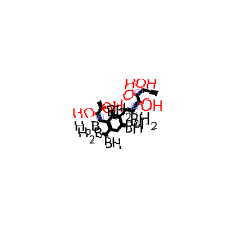 B=C(B)C1=C(/C(B)=C(/O)C(=C)O)C(B)=C(C/C(B)=C(O)\C(O)=C(\O)C#C)C(=B)C1